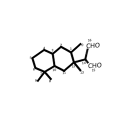 CC1CC2CCCC(C)(C)C2CC1(C)C(C=O)C=O